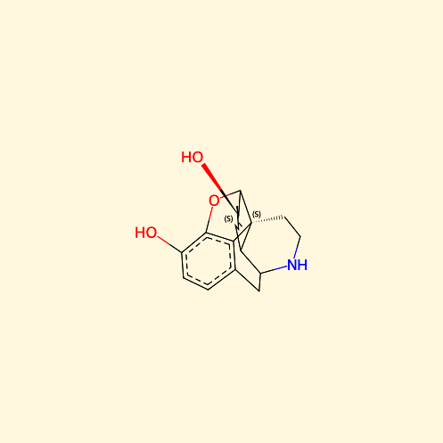 Oc1ccc2c3c1OC1[C@@H](O)CC=CC4C(C2)NCC[C@@]341